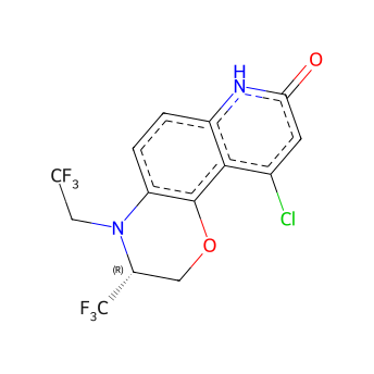 O=c1cc(Cl)c2c3c(ccc2[nH]1)N(CC(F)(F)F)[C@@H](C(F)(F)F)CO3